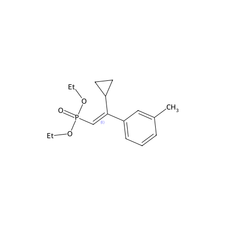 CCOP(=O)(/C=C(/c1cccc(C)c1)C1CC1)OCC